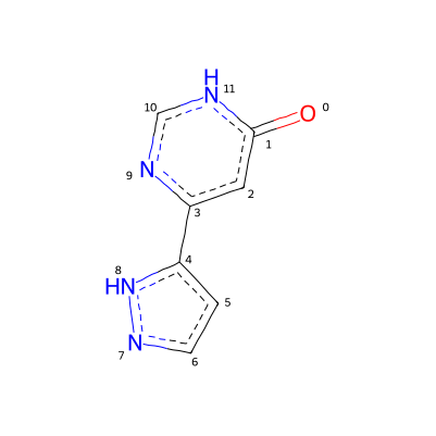 O=c1cc(-c2ccn[nH]2)nc[nH]1